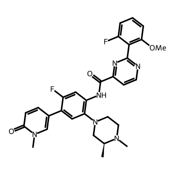 COc1cccc(F)c1-c1nccc(C(=O)Nc2cc(F)c(-c3ccc(=O)n(C)c3)cc2N2CCN(C)[C@@H](C)C2)n1